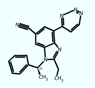 CCc1nc2c(-c3ccnnn3)cc(C#N)cc2n1[C@@H](C)c1ccccc1